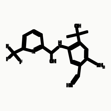 CC(C)(O)c1cc(N)c(C=N)cc1NC(O)c1cccc(C(F)(F)F)n1